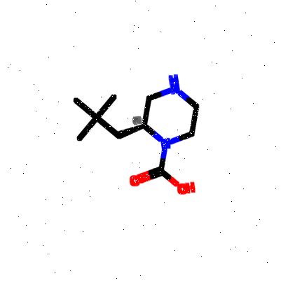 CC(C)(C)C[C@H]1CNCCN1C(=O)O